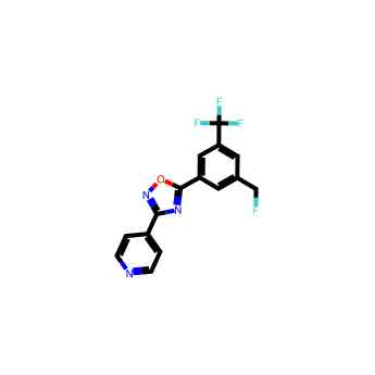 FCc1cc(-c2nc(-c3ccncc3)no2)cc(C(F)(F)F)c1